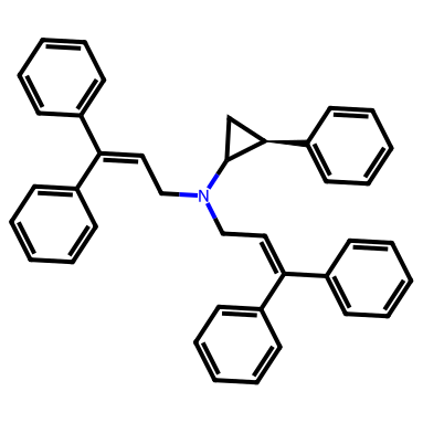 C(CN(CC=C(c1ccccc1)c1ccccc1)C1C[C@H]1c1ccccc1)=C(c1ccccc1)c1ccccc1